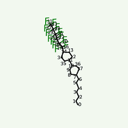 CCCCCCCC1CCC(C2CCC(C(F)(F)C(F)(F)C(F)(F)C(F)(F)C(F)(F)C(F)(F)F)CC2)CC1